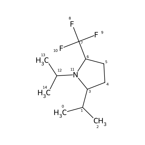 CC(C)C1CCC(C(F)(F)F)N1C(C)C